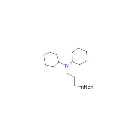 CCCCCCCCCCCCN(C1CCCCC1)C1CCCCC1